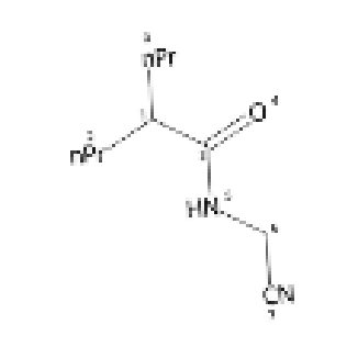 CCCC(CCC)C(=O)NCC#N